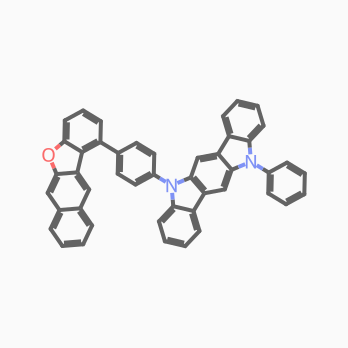 c1ccc(-n2c3ccccc3c3cc4c(cc32)c2ccccc2n4-c2ccc(-c3cccc4oc5cc6ccccc6cc5c34)cc2)cc1